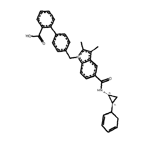 Cc1c(C)n(Cc2ccc(-c3ccccc3C(=O)O)cc2)c2ccc(C(=O)N[C@@H]3C[C@H]3C3C=CC=CC3)cc12